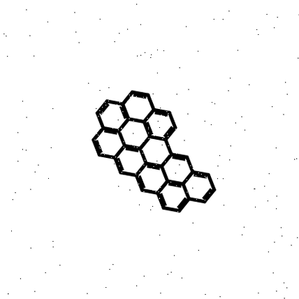 c1cc2ccc3cc4cc5ccc6ccc7ccc8ccc9c%10cc(c1)c2c3c%10c4c1c5c6c7c8c91